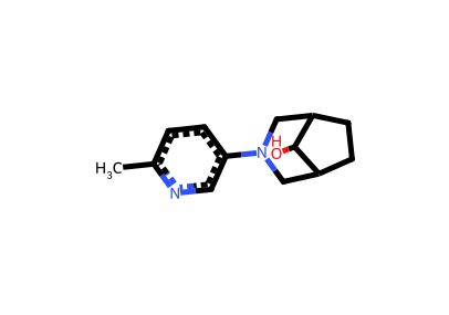 Cc1ccc(N2CC3CCC(C2)C3O)cn1